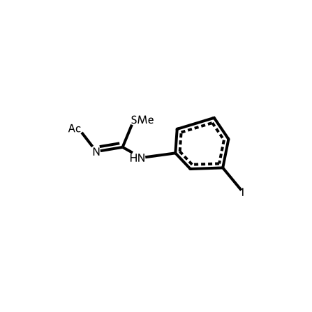 CS/C(=N\C(C)=O)Nc1cccc(I)c1